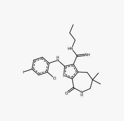 CCCNC(=N)c1c(Nc2ccc(I)cc2Cl)sc2c1CC(C)(C)CNC2=O